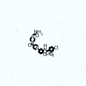 CC(Nc1cc(N2CCC(C(=O)N3CCN(CC(N)=O)CC3)CC2)ccc1Cl)c1ccc(Cl)cc1Cl